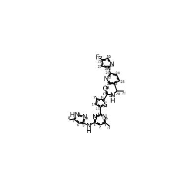 Cc1cc(Nc2cc(C)[nH]n2)nc(-c2ccc(C(=O)NC(C)c3ccc(-n4cc(F)cn4)nc3)s2)n1